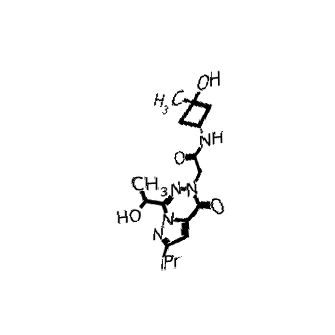 CC(C)c1cc2c(=O)n(CC(=O)N[C@H]3C[C@@](C)(O)C3)nc(C(C)O)n2n1